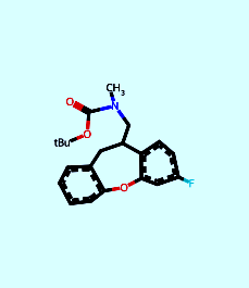 CN(CC1Cc2ccccc2Oc2cc(F)ccc21)C(=O)OC(C)(C)C